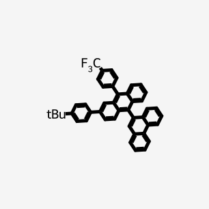 CC(C)(C)c1ccc(-c2ccc3c(-c4cc5ccccc5c5ccccc45)c4ccccc4c(-c4ccc(C(F)(F)F)cc4)c3c2)cc1